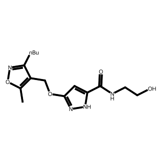 CCCCc1noc(C)c1COc1cc(C(=O)NCCO)[nH]n1